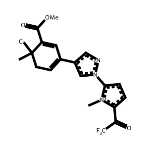 COC(=O)C1=CC(c2cnn(-c3ccc(C(=O)C(F)(F)F)n3C)c2)=CCC1(C)Cl